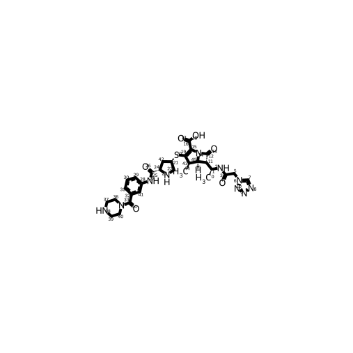 C[C@@H](NC(=O)Cn1cnnn1)[C@H]1C(=O)N2C(C(=O)O)=C(S[C@@H]3CN[C@H](C(=O)Nc4cccc(C(=O)N5CCNCC5)c4)C3)[C@H](C)[C@H]12